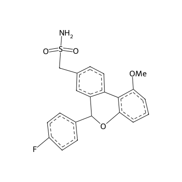 COc1cccc2c1-c1ccc(CS(N)(=O)=O)cc1C(c1ccc(F)cc1)O2